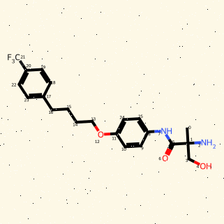 CC(N)(CO)C(=O)Nc1ccc(OCCCCc2ccc(C(F)(F)F)cc2)cc1